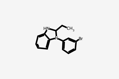 CCC1Nc2ccccc2N1c1cccc(Br)c1